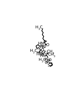 C=CC(NC(=O)NC(CN(C)S(=O)(=O)c1cccs1)C(C)(C)C)C(=O)N1CCC[C@H]1C(=O)N[C@]1(C(=O)O)CC1CCCCCCC